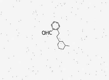 CC1CCCC(CCc2ccccc2C=O)C1